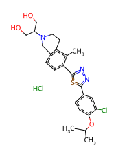 Cc1c(-c2nnc(-c3ccc(OC(C)C)c(Cl)c3)s2)ccc2c1CCN(C(CO)CO)C2.Cl